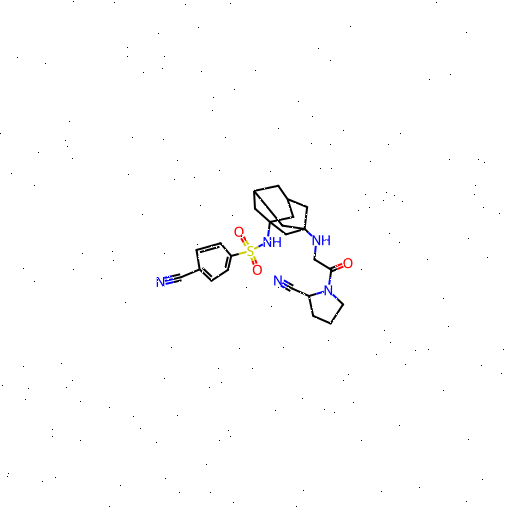 N#Cc1ccc(S(=O)(=O)NC23CC4CC(CC(NCC(=O)N5CCCC5C#N)(C4)C2)C3)cc1